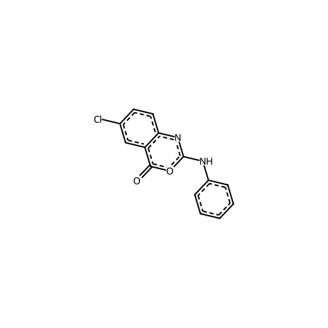 O=c1oc(Nc2ccccc2)nc2ccc(Cl)cc12